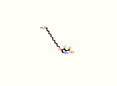 CCCCCCCCCCCCCCOc1c[nH]c(C(=O)O)c1Cl